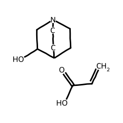 C=CC(=O)O.OC1CN2CCC1CC2